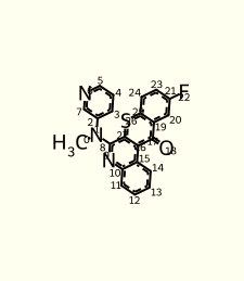 CN(c1cccnc1)c1nc2ccccc2c2c(=O)c3cc(F)ccc3sc12